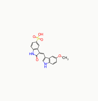 COc1ccc2[nH]cc(C=C3C(=O)Nc4ccc(S(=O)(=O)O)cc43)c2c1